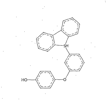 Oc1ccc(Oc2cccc([SH]3c4ccccc4-c4ccccc43)c2)cc1